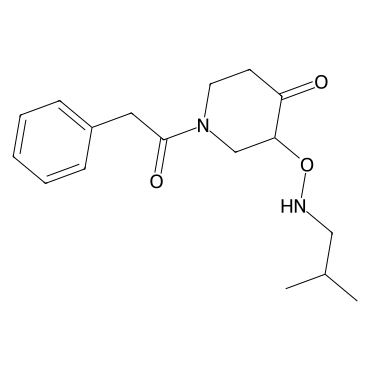 CC(C)CNOC1CN(C(=O)Cc2ccccc2)CCC1=O